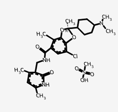 CS(=O)(=O)O.Cc1cc(C)c(CNC(=O)c2cc(Cl)c3c(c2C)O[C@@](C)(C2CCC(N(C)C)CC2)O3)c(=O)[nH]1